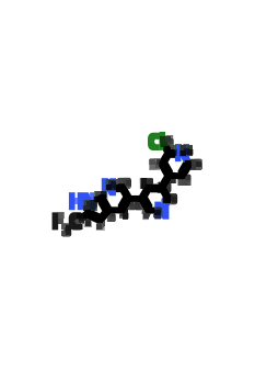 FC(F)(F)c1cc2cc(-c3cncc(-c4ccnc(Cl)c4)c3)cnc2[nH]1